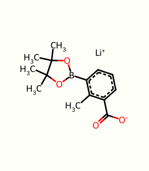 Cc1c(B2OC(C)(C)C(C)(C)O2)cccc1C(=O)[O-].[Li+]